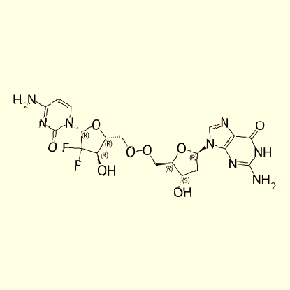 Nc1ccn([C@@H]2O[C@H](COOC[C@H]3O[C@@H](n4cnc5c(=O)[nH]c(N)nc54)C[C@@H]3O)[C@@H](O)C2(F)F)c(=O)n1